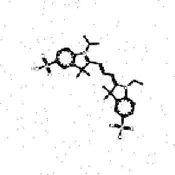 CCN1/C(=C/C=C/C2=[N+](C(C)C)c3ccc(S(=O)(=O)O)cc3C2(C)C)C(C)(C)c2cc(S(=O)(=O)O)ccc21